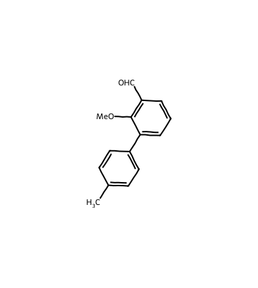 COc1c(C=O)cccc1-c1ccc(C)cc1